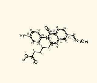 COC(=O)CCCCc1nc2cc(C=NO)ccc2c(=O)n1-c1ccc(F)cc1